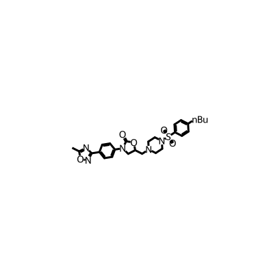 CCCCc1ccc(S(=O)(=O)N2CCN(CC3CN(c4ccc(-c5noc(C)n5)cc4)C(=O)O3)CC2)cc1